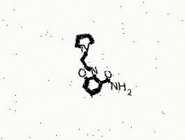 NC(=O)c1c[c]cc2oc(CCN3CCCC3)nc12